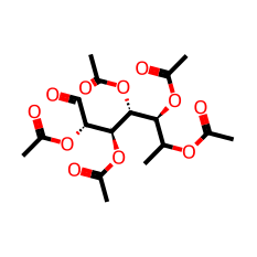 CC(=O)OC(C)[C@H](OC(C)=O)[C@@H](OC(C)=O)[C@@H](OC(C)=O)[C@@H](C=O)OC(C)=O